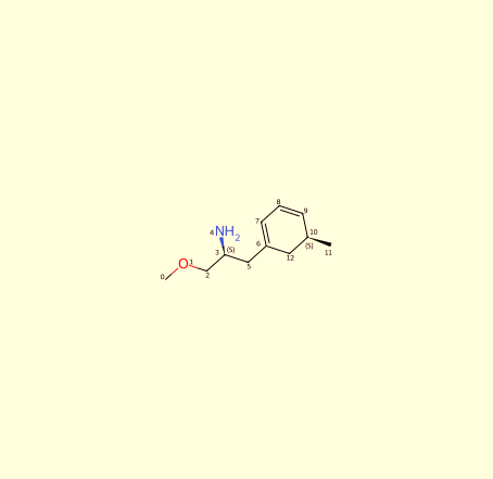 COC[C@@H](N)CC1=CC=C[C@@H](C)C1